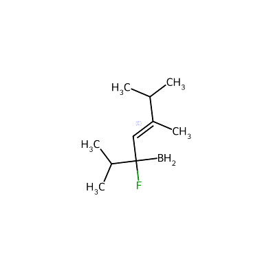 BC(F)(/C=C(\C)C(C)C)C(C)C